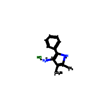 CCOC(=O)c1c(C)[nH]c(-c2ccccc2)c1N.Cl